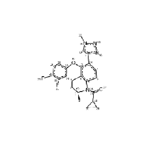 C[C@H]1CCc2c(ccc(-c3cn(C)nn3)c2Oc2ccc(F)c(F)c2)N1C(=O)C1CC1